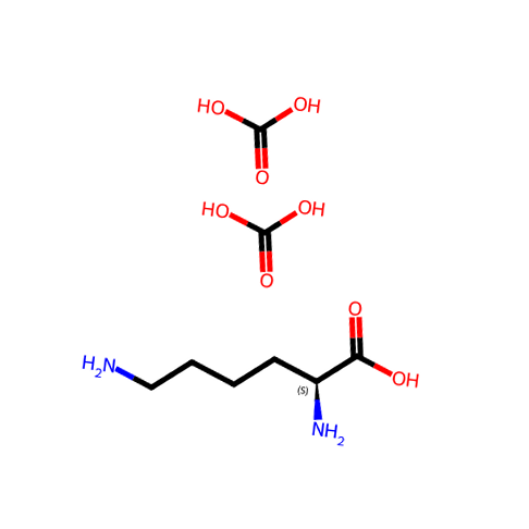 NCCCC[C@H](N)C(=O)O.O=C(O)O.O=C(O)O